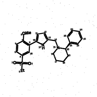 CCS(=O)(=O)c1ccc(OC)c(-c2ccc(CN3CCCC[C@@H]3c3ccccc3)[nH]2)c1